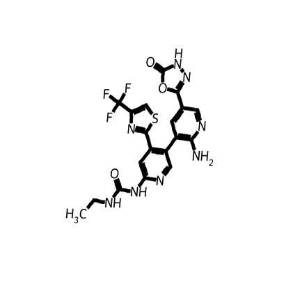 CCNC(=O)Nc1cc(-c2nc(C(F)(F)F)cs2)c(-c2cc(-c3n[nH]c(=O)o3)cnc2N)cn1